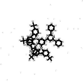 CC(C)(C)c1ccc2c(c1)c1cc(C(C)(C)C)ccc1n2-c1cc(-c2cc(-c3ccccc3)nc(-c3ccccc3)n2)cc(-n2c3ccc(C(C)(C)C)cc3c3cc(C(C)(C)C)ccc32)c1-n1c2ccccc2c2ncccc21